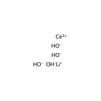 [Ce+3].[Li+].[OH-].[OH-].[OH-].[OH-]